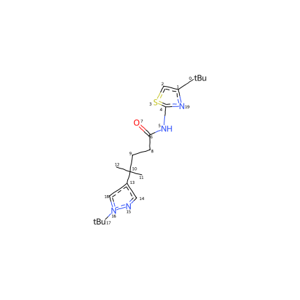 CC(C)(C)c1csc(NC(=O)CCC(C)(C)c2cnn(C(C)(C)C)c2)n1